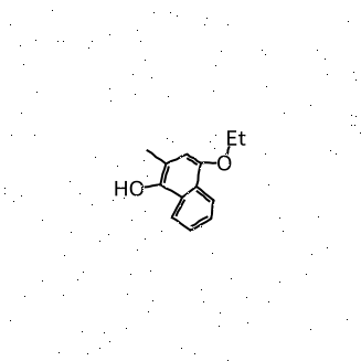 CCOc1cc(C)c(O)c2ccccc12